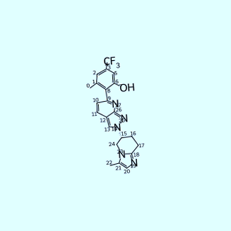 Cc1cc(C(F)(F)F)cc(O)c1-c1ccc2cn([C@@H]3CCc4ncc(C)n4C3)nc2n1